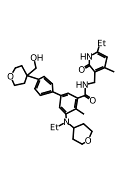 CCc1cc(C)c(CNC(=O)c2cc(-c3ccc(C4(CO)CCOCC4)cc3)cc(N(CC)C3CCOCC3)c2C)c(=O)[nH]1